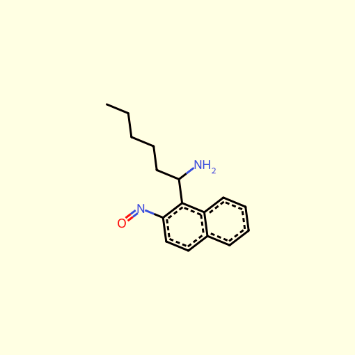 CCCCCC(N)c1c(N=O)ccc2ccccc12